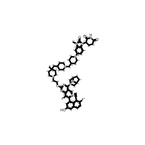 C#Cc1c(F)ccc2cc(O)cc(-c3ncc4c(N5CC6CCC(C5)N6)nc(OCCN5CCC(C)(CC6CCN(CC7CCN(c8ccc9c(c8)n(C)c(=O)n9C8CCC(=O)NC8=O)CC7)CC6)CC5)nc4c3F)c12